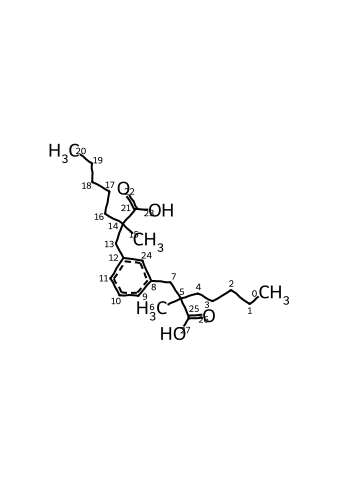 CCCCCC(C)(Cc1cccc(CC(C)(CCCCC)C(=O)O)c1)C(=O)O